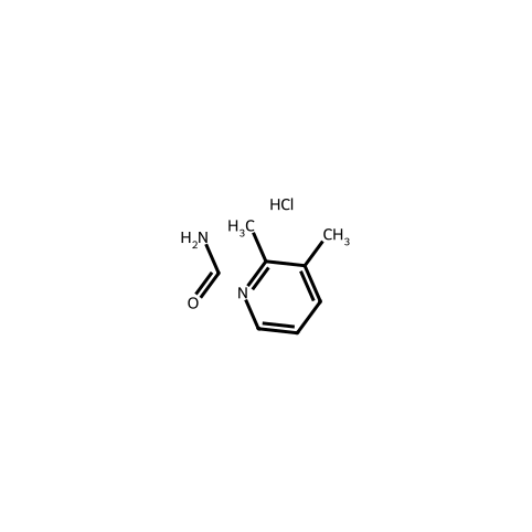 Cc1cccnc1C.Cl.NC=O